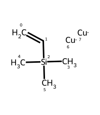 C=C[Si](C)(C)C.[Cu].[Cu]